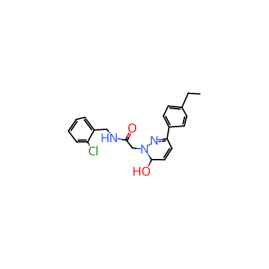 CCc1ccc(C2=NN(CC(=O)NCc3ccccc3Cl)C(O)C=C2)cc1